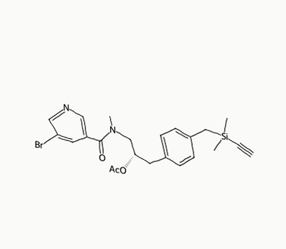 C#C[Si](C)(C)Cc1ccc(C[C@@H](CN(C)C(=O)c2cncc(Br)c2)OC(C)=O)cc1